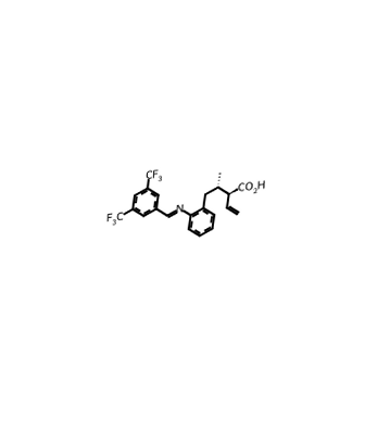 C=C[C@H](C(=O)O)[C@@H](C)Cc1ccccc1N=Cc1cc(C(F)(F)F)cc(C(F)(F)F)c1